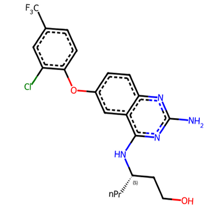 CCC[C@@H](CCO)Nc1nc(N)nc2ccc(Oc3ccc(C(F)(F)F)cc3Cl)cc12